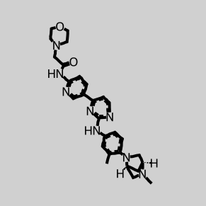 Cc1cc(Nc2nccc(-c3ccc(NC(=O)CN4CCOCC4)nc3)n2)ccc1N1C[C@@H]2C[C@H]1CN2C